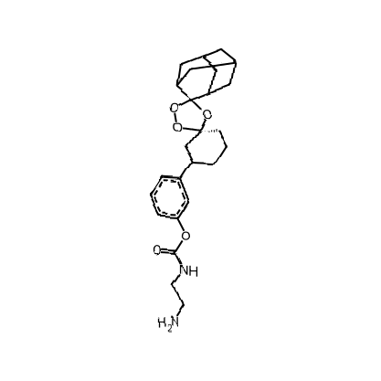 NCCNC(=O)Oc1cccc(C2CCC[C@]3(C2)OOC2(O3)C3CC4CC(C3)CC2C4)c1